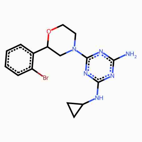 Nc1nc(NC2CC2)nc(N2CCOC(c3ccccc3Br)C2)n1